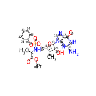 CC(C)OC(=O)[C@@H](C)N[P@@](=O)(OC[C@H]1O[C@@H](n2cnc3c(=O)[nH]c(N)nc32)[C@H](O)[C@@H]1C)Oc1ccccc1